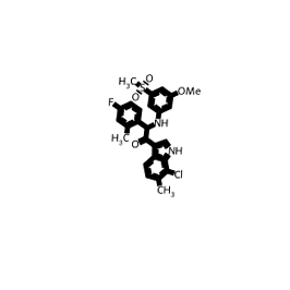 COc1cc(NC(C(=O)c2c[nH]c3c(Cl)c(C)ccc23)c2ccc(F)cc2C)cc(S(C)(=O)=O)c1